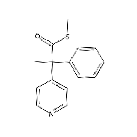 CSC(=O)C(C)(c1ccccc1)c1ccncc1